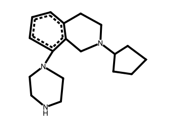 c1cc2c(c(N3CCNCC3)c1)CN(C1CCCC1)CC2